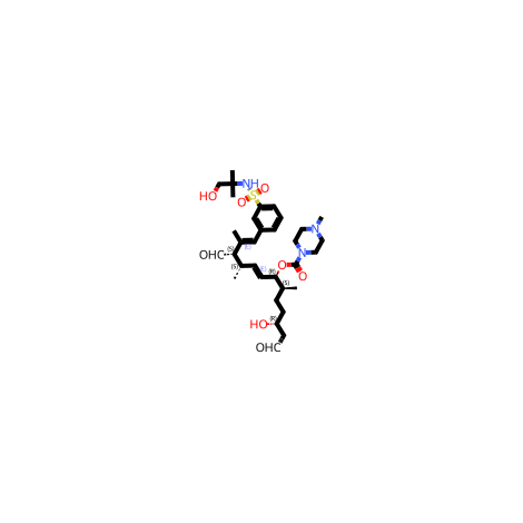 C/C(=C\c1cccc(S(=O)(=O)NC(C)(C)CO)c1)[C@@H](C=O)[C@@H](C)/C=C/[C@H](OC(=O)N1CCN(C)CC1)[C@@H](C)CC[C@@H](O)CC=O